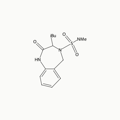 CCC(C)C1C(=O)Nc2ccccc2CN1S(=O)(=O)NC